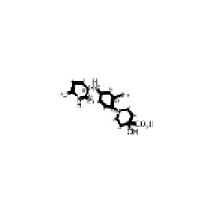 O=C1CC[C@H](Nc2ccc(N3CCC(O)(C(=O)O)CC3)c(F)c2)C(=O)N1